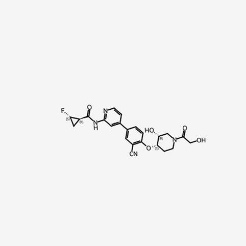 N#Cc1cc(-c2ccnc(NC(=O)[C@H]3C[C@@H]3F)c2)ccc1O[C@H]1CCN(C(=O)CO)C[C@H]1O